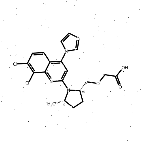 C[C@H]1CC[C@@H](COCC(=O)O)N1c1cc(-n2ccnc2)c2ccc(Cl)c(Cl)c2n1